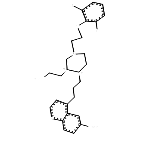 COc1ccc2nccc(CCC[C@@H]3CCN(CCSc4c(Cl)cccc4Cl)C[C@@H]3CCC(=O)O)c2c1